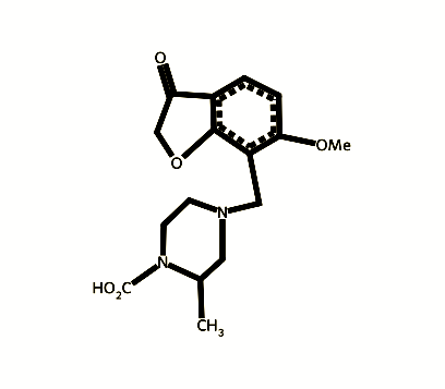 COc1ccc2c(c1CN1CCN(C(=O)O)C(C)C1)OCC2=O